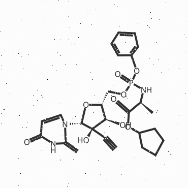 C#C[C@@]1(O)[C@H](O)[C@@H](COP(=O)(N[C@@H](C)C(=O)OC2CCCC2)Oc2ccccc2)O[C@H]1N1C=CC(=O)NC1=C